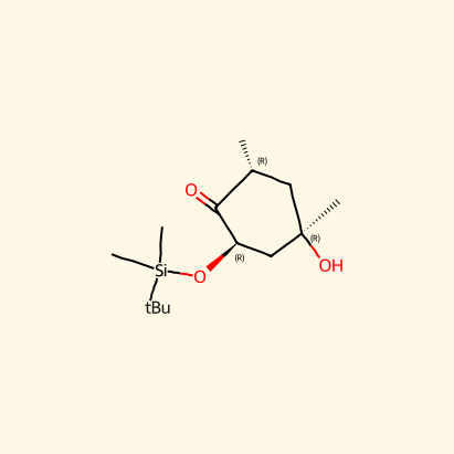 C[C@@H]1C[C@@](C)(O)C[C@@H](O[Si](C)(C)C(C)(C)C)C1=O